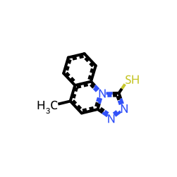 Cc1cc2nnc(S)n2c2ccccc12